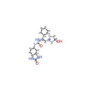 O=C(Cc1ccc2[nH]c(=O)[nH]c2c1)N[C@H](CN1CC[C@H](O)C1)c1ccccc1